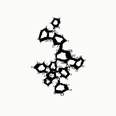 c1ccc(-n2c3ccccc3c3cc(-c4cc(-c5ccc6c(c5)c5ccccc5n6-c5ccccc5)c5c(c4)c4ccccc4n5-c4ccc5c(c4)c4ccccc4n5-c4ccccc4)ccc32)cc1